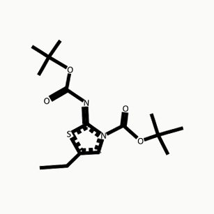 CCc1[c]n(C(=O)OC(C)(C)C)c(=NC(=O)OC(C)(C)C)s1